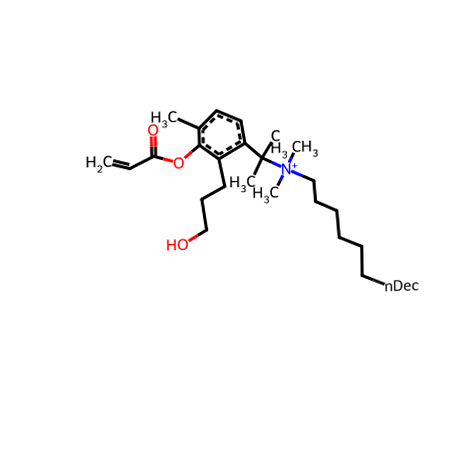 C=CC(=O)Oc1c(C)ccc(C(C)(C)[N+](C)(C)CCCCCCCCCCCCCCCC)c1CCCO